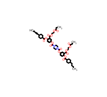 C#CC#CC1CCC(C(=O)Oc2ccc(OC(=O)N3CCN(C(=O)Oc4ccc(OC(=O)C5CCC(CCCC)CC5)c(C(=O)OCCOC(=O)C=C)c4)CC3)cc2C(=O)OCCOC(=O)C=C)CC1